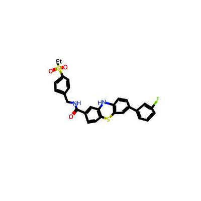 CCS(=O)(=O)c1ccc(CNC(=O)c2ccc3c(c2)Nc2ccc(-c4cccc(F)c4)cc2S3)cc1